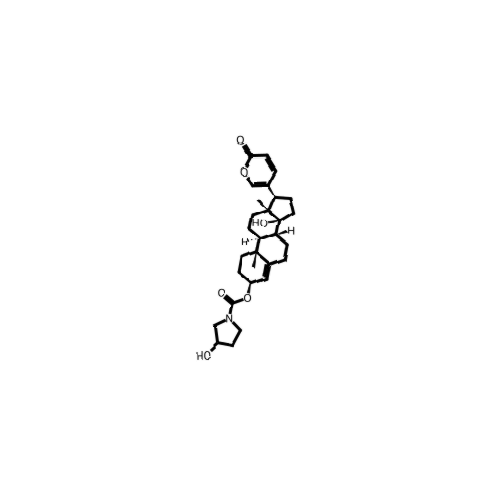 C[C@]12CC[C@H](OC(=O)N3CCC(O)C3)C=C1CC[C@@H]1[C@@H]2CC[C@]2(C)[C@@H](c3ccc(=O)oc3)CC[C@]12O